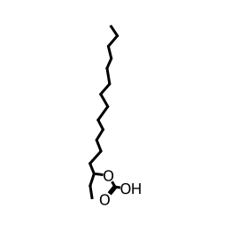 CCCCCCCCCCCCCC(CC)OC(=O)O